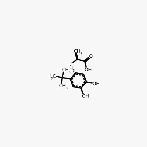 C=C(C)C(=O)O.CC(C)(C)c1ccc(O)c(O)c1